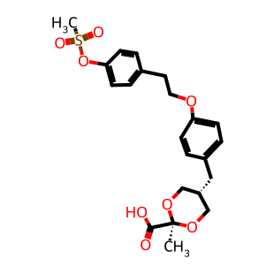 CS(=O)(=O)Oc1ccc(CCOc2ccc(C[C@H]3CO[C@](C)(C(=O)O)OC3)cc2)cc1